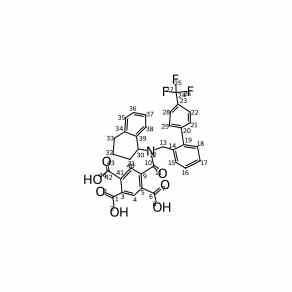 O=C(O)c1cc(C(=O)O)c(C(=O)N(Cc2ccccc2-c2ccc(C(F)(F)F)cc2)C2CCCc3ccccc32)cc1C(=O)O